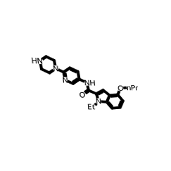 CCCOc1cccc2c1cc(C(=O)Nc1ccc(N3CCNCC3)nc1)n2CC